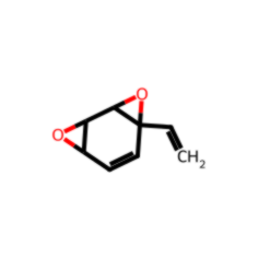 C=CC12C=CC3OC3C1O2